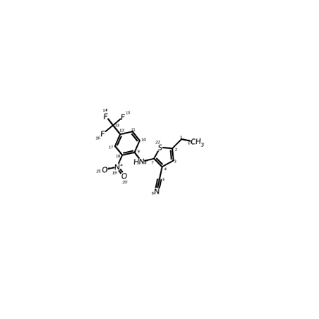 CCc1cc(C#N)c(Nc2ccc(C(F)(F)F)cc2[N+](=O)[O-])s1